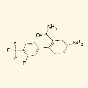 NC(=O)c1cc(N)ccc1-c1ccc(C(F)(F)F)c(F)c1